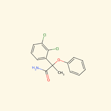 CC(Oc1ccccc1)(C(N)=O)c1cccc(Cl)c1Cl